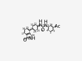 CC(=O)c1cccc(NC(=O)Nc2ccc(-c3cccc4c3CNC4=O)cc2)c1